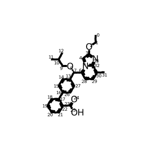 CCOc1cn2c([C@H](OCC(C)C)c3ccc(-c4ccccc4C(=O)O)cc3)ccc(C)c2n1